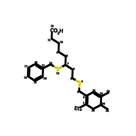 CCC1=C(CSCCC(CCCCC(=O)O)SCc2ccccc2)C=C(C)C(C)C1